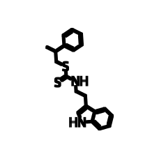 CC(CSC(=S)NCCc1c[nH]c2ccccc12)c1ccccc1